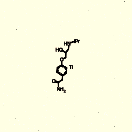 CC(C)NCC(O)COc1ccc(CC(N)=O)cc1.[Ti]